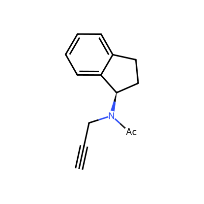 C#CCN(C(C)=O)[C@@H]1CCc2ccccc21